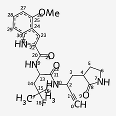 C#CC(CC1CCNC1=O)NC(=O)C(CC(C)(C)F)NC(=O)c1cc2c(OC)cccc2[nH]1